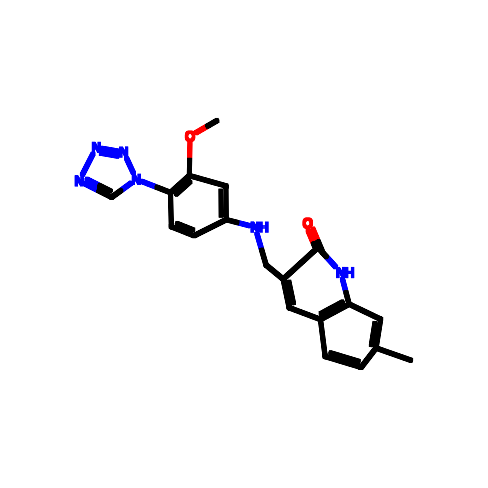 COc1cc(NCc2cc3ccc(C)cc3[nH]c2=O)ccc1-n1cnnn1